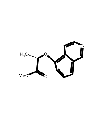 COC(=O)[C@H](C)Oc1cccc2cnccc12